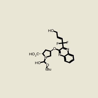 CC(C)(C)OC(O)N1C[C@H](Oc2nc3ccccc3nc2C(F)(F)/C=C/CO)C[C@H]1C(=O)O